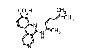 C=C(/C=C\C=C(C)C)Nc1nc2cc(C(=O)O)c#cc2c2ccncc12